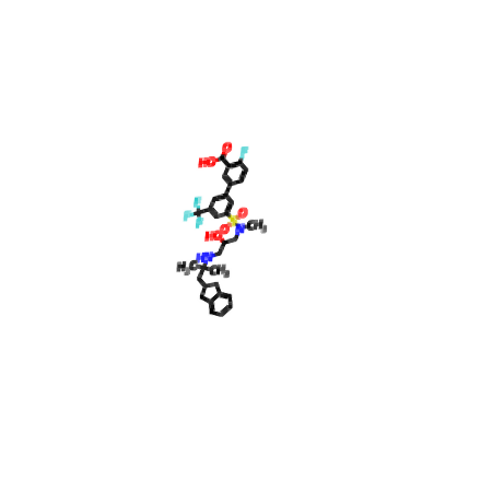 CN(C[C@H](O)CNC(C)(C)CC1Cc2ccccc2C1)S(=O)(=O)c1cc(-c2ccc(F)c(C(=O)O)c2)cc(C(F)(F)F)c1